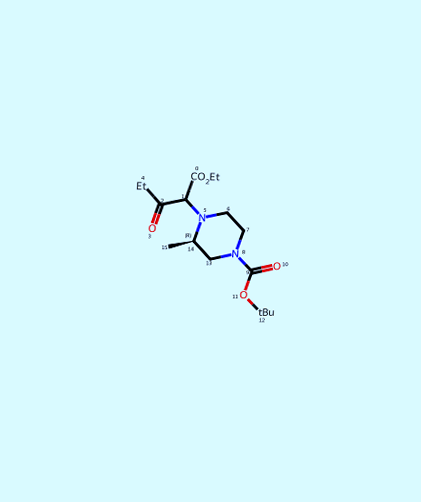 CCOC(=O)C(C(=O)CC)N1CCN(C(=O)OC(C)(C)C)C[C@H]1C